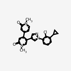 Cn1ccc(-c2cc(=O)n(C)cc2-c2cnn(-c3cccc(C4CC4)c3Cl)c2)cc1=O